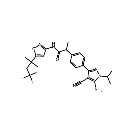 CC(C(=O)Nc1cc(C(C)(C)CC(F)(F)F)on1)c1ccc(-c2nn(C(C)C)c(N)c2C#N)cc1